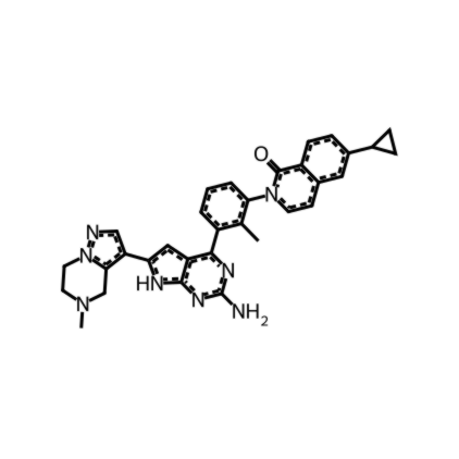 Cc1c(-c2nc(N)nc3[nH]c(-c4cnn5c4CN(C)CC5)cc23)cccc1-n1ccc2cc(C3CC3)ccc2c1=O